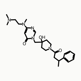 CC(CC(=O)N1CCC(O)(Cn2cnc(N(C)CCN(C)C)cc2=O)CC1)c1ccccc1